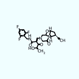 C#C[C@@H]1C[C@@H]2C[C@H]1N1C(=O)CN(/C=C(/C(=O)NCc3c(F)cc(F)cc3F)C(=O)C(=C)O)CC1O2